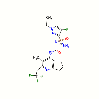 CCn1cc(F)c([S@](N)(=O)=NC(=O)Nc2c(C)c(CC(F)(F)F)nc3c2CCC3)n1